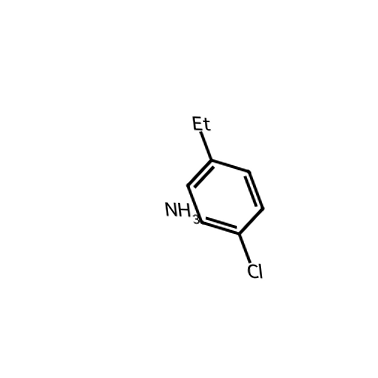 CCc1ccc(Cl)cc1.N